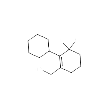 OCC1=C(C2CCCCC2)C(F)(F)CCC1